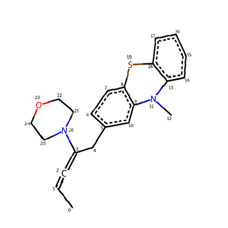 CC=C=C(Cc1ccc2c(c1)N(C)c1ccccc1S2)N1CCOCC1